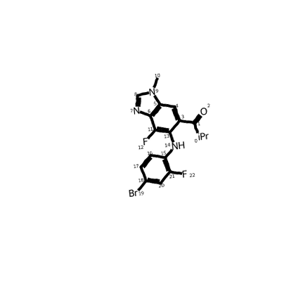 CC(C)C(=O)c1cc2c(ncn2C)c(F)c1Nc1ccc(Br)cc1F